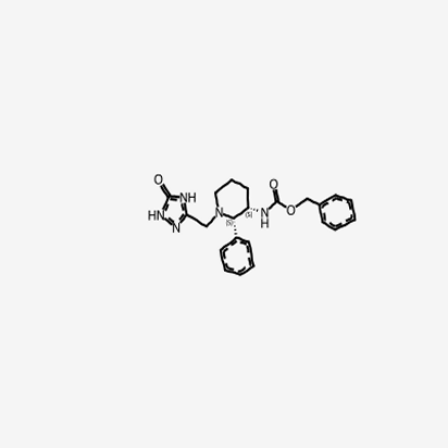 O=C(N[C@H]1CCCN(Cc2n[nH]c(=O)[nH]2)[C@H]1c1ccccc1)OCc1ccccc1